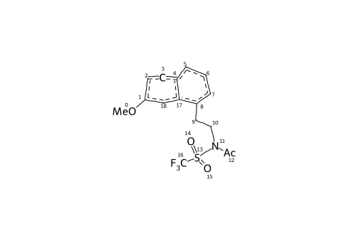 COc1ccc2cccc(CCN(C(C)=O)S(=O)(=O)C(F)(F)F)c2c1